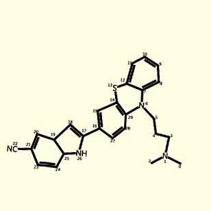 CN(C)CCCN1c2ccccc2Sc2cc(C3=CC4C=C(C#N)C=CC4N3)ccc21